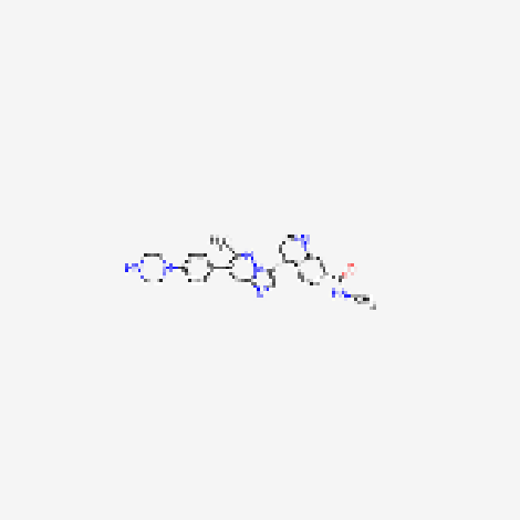 CNC(=O)c1ccc2c(-c3cnc4cc(-c5ccc(N6CCNCC6)cc5)c(C)nn34)ccnc2c1